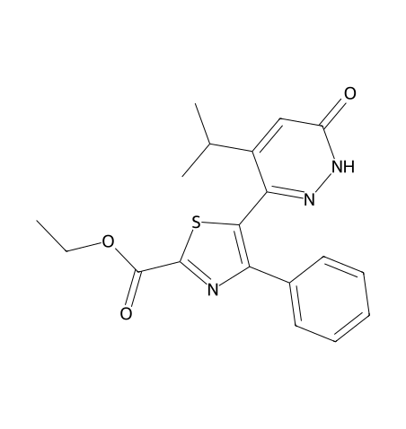 CCOC(=O)c1nc(-c2ccccc2)c(-c2n[nH]c(=O)cc2C(C)C)s1